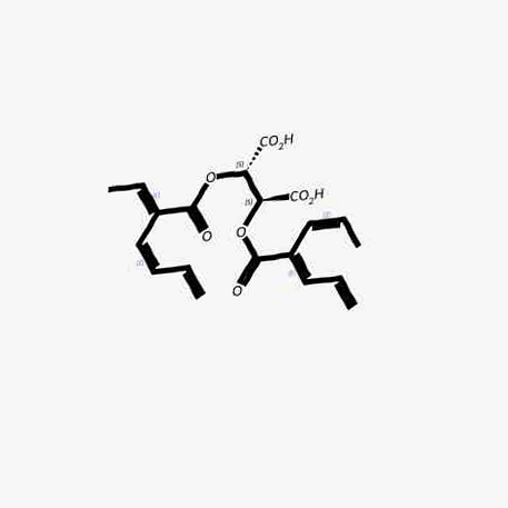 C=C/C=C\C(=C/C)C(=O)O[C@H](C(=O)O)[C@H](OC(=O)C(/C=C\C)=C/C=C)C(=O)O